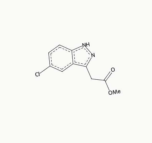 COC(=O)Cc1n[nH]c2ccc(Cl)cc12